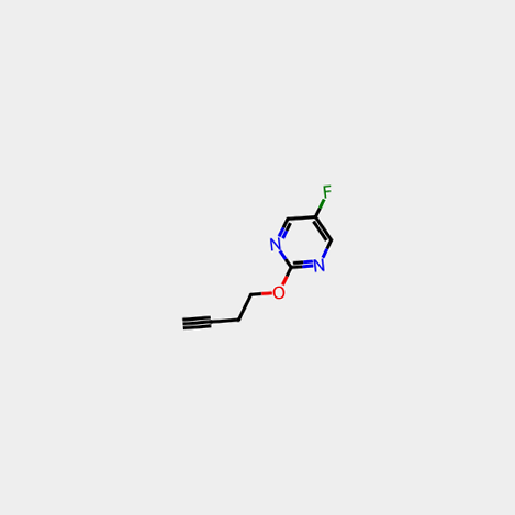 C#CCCOc1ncc(F)cn1